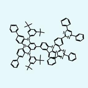 CC(C)(C)c1cc(N2c3cc(-c4ccccc4)ccc3B3c4ccc(-c5ccccc5)cc4N(c4cc(C(C)(C)C)cc(C(C)(C)C)c4)c4cc(-c5ccc6c(c5)c5ccccc5n6-c5ccc(-c6nc(-c7ccccc7)cc(-c7ccccc7)n6)cc5-c5nc(-c6ccccc6)nc(-c6ccccc6)n5)cc2c43)cc(C(C)(C)C)c1